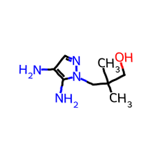 CC(C)(CO)Cn1ncc(N)c1N